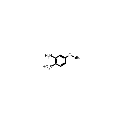 CCCCOc1ccc(S(=O)(=O)O)c(N)c1